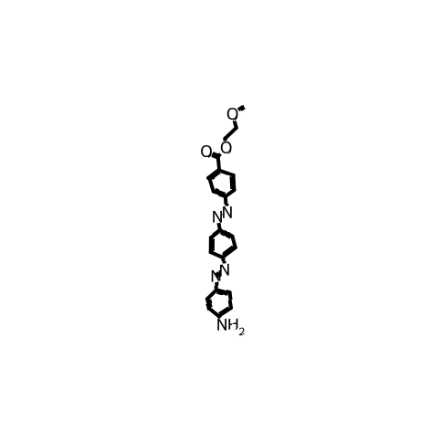 COCCOC(=O)c1ccc(N=Nc2ccc(N=Nc3ccc(N)cc3)cc2)cc1